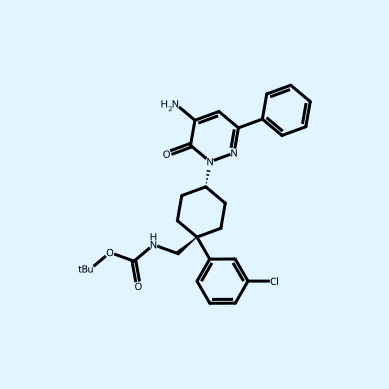 CC(C)(C)OC(=O)NC[C@]1(c2cccc(Cl)c2)CC[C@@H](n2nc(-c3ccccc3)cc(N)c2=O)CC1